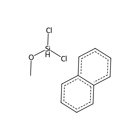 CO[SiH](Cl)Cl.c1ccc2ccccc2c1